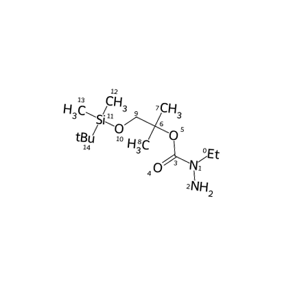 CCN(N)C(=O)OC(C)(C)CO[Si](C)(C)C(C)(C)C